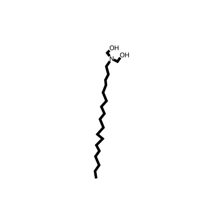 CCCCCCCCCCCCCCCCCCN(CO)CO